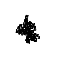 CC[C@H](C)[C@@H]([C@@H](CC(=O)N1CCC[C@H]1[C@H](OC)[C@@H](C)C(=O)N[C@@H](Cc1ccccc1)c1nccs1)OC)N(C)C(=O)[C@@H](NC(=O)C1CCNC1)C(C)C